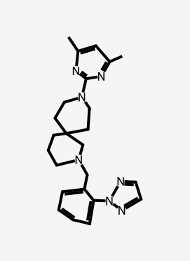 Cc1cc(C)nc(N2CCC3(CCCN(Cc4ccccc4-n4nccn4)C3)CC2)n1